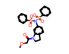 COCC(=O)N1CCc2ccc(N(S(=O)(=O)c3ccccc3)S(=O)(=O)c3ccccc3)cc21